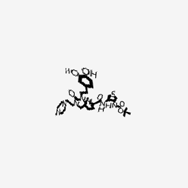 CN1CCN(CCN(Cc2ccc(C(=O)Nc3cscc3NC(=O)OC(C)(C)C)nc2)C(=O)NCCc2ccc(O)c(O)c2)CC1